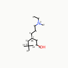 CCN(C)CCC[C@@H](CCO)CC(C)(C)C